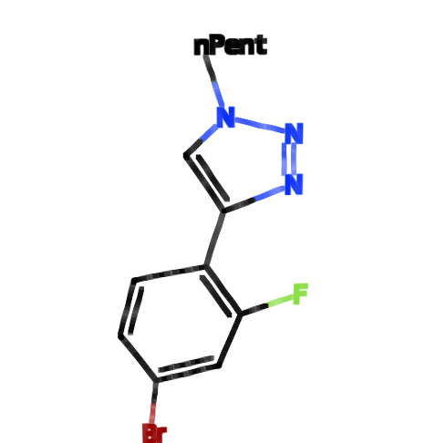 CCCCCn1cc(-c2ccc(Br)cc2F)nn1